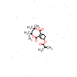 C=C(C)C(=O)OC1CC2CC1C1C(=O)OC(C)(C)CC(C)(C)OC(=O)C21